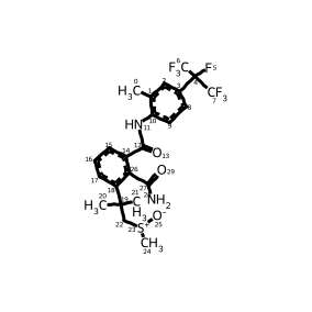 Cc1cc(C(F)(C(F)(F)F)C(F)(F)F)ccc1NC(=O)c1cccc(C(C)(C)C[S+](C)[O-])c1C(N)=O